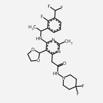 Cc1nc(CC(=O)NN2CCC(F)(F)CC2)c(C2OCCO2)c(NC(C)c2cccc(C(F)F)c2F)n1